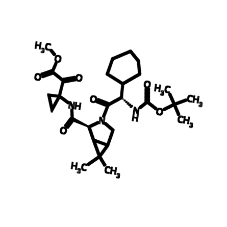 COC(=O)C(=O)C1(NC(=O)[C@@H]2C3C(CN2C(=O)[C@@H](NC(=O)OC(C)(C)C)C2CCCCC2)C3(C)C)CC1